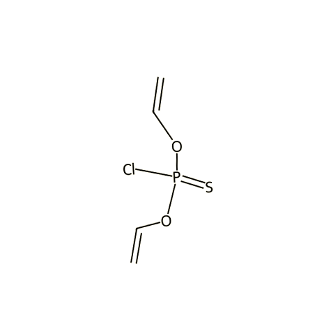 C=COP(=S)(Cl)OC=C